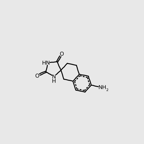 Nc1ccc2c(c1)CCC1(C2)NC(=O)NC1=O